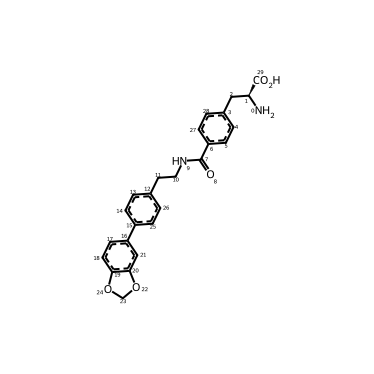 N[C@@H](Cc1ccc(C(=O)NCCc2ccc(-c3ccc4c(c3)OCO4)cc2)cc1)C(=O)O